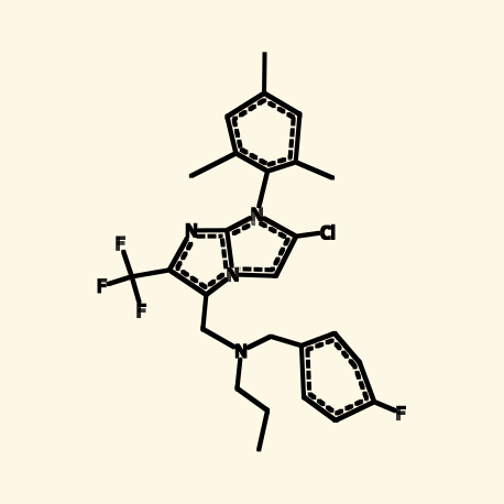 CCCN(Cc1ccc(F)cc1)Cc1c(C(F)(F)F)nc2n(-c3c(C)cc(C)cc3C)c(Cl)cn12